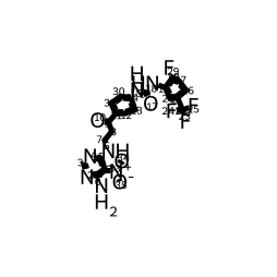 Nc1ncnc(NCCC(=O)c2ccc(NC(=O)Nc3cc(C(F)(F)F)ccc3F)cc2)c1[N+](=O)[O-]